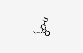 FCCCn1c2ccccc2c2cc(-c3nnco3)cnc21